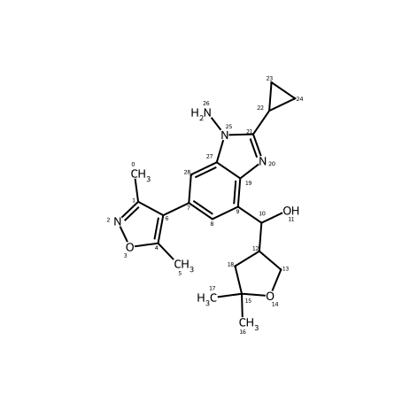 Cc1noc(C)c1-c1cc(C(O)C2COC(C)(C)C2)c2nc(C3CC3)n(N)c2c1